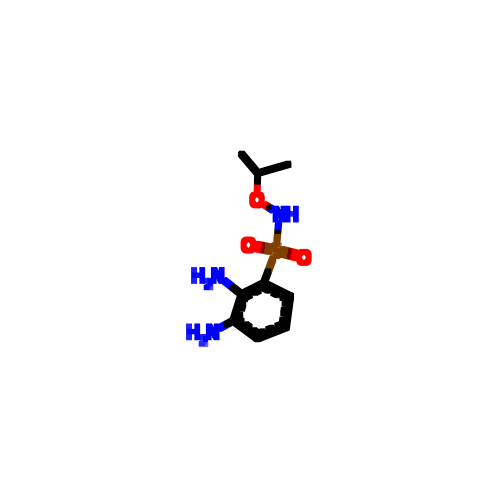 CC(C)ONS(=O)(=O)c1cccc(N)c1N